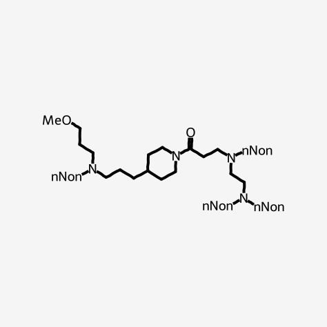 CCCCCCCCCN(CCCOC)CCCC1CCN(C(=O)CCN(CCCCCCCCC)CCN(CCCCCCCCC)CCCCCCCCC)CC1